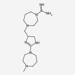 CN1CCCN(C2=NC(CN3CCCN(C(=N)N)CC3)CN2)CC1